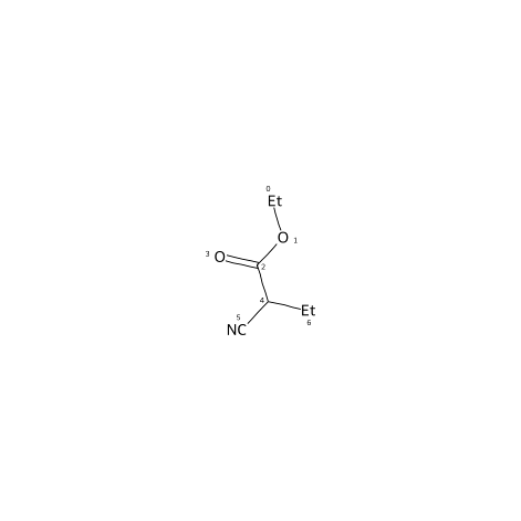 CCOC(=O)C(C#N)CC